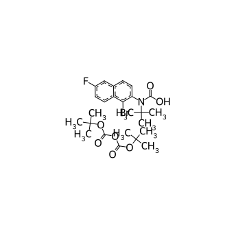 CC(C)(C)N(C(=O)O)c1ccc2cc(F)ccc2c1Br.CC(C)(C)OC(=O)OC(=O)OC(C)(C)C